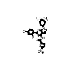 CC1(C)CCC(n2ncc3c(NC(=O)c4ccc([N+](=O)[O-])s4)nc(-c4ccc(Cl)cc4F)nc32)CC1